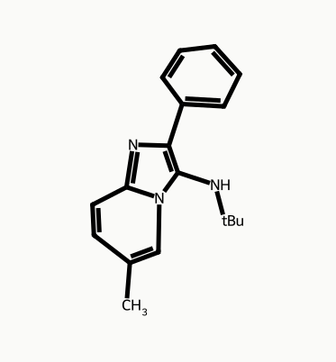 Cc1ccc2nc(-c3ccccc3)c(NC(C)(C)C)n2c1